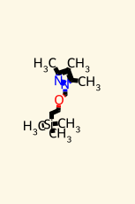 Cc1nn(COCC[Si](C)(C)C)c(C)c1C